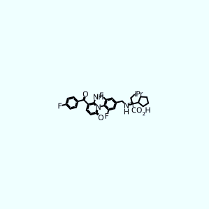 CC(C)C[C@@](NCc1cc(F)c(-n2c(N)c(C(=O)c3ccc(F)cc3)ccc2=O)c(F)c1)(C(=O)O)C1CCCC1